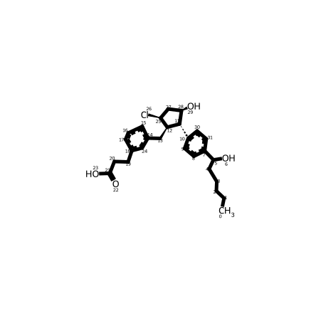 CCCCCC(O)c1ccc([C@@H]2[C@@H](Cc3cccc(CCC(=O)O)c3)[C@@H](Cl)C[C@H]2O)cc1